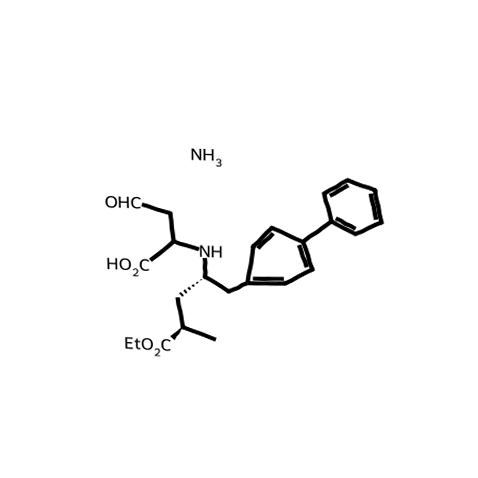 CCOC(=O)[C@H](C)C[C@@H](Cc1ccc(-c2ccccc2)cc1)NC(CC=O)C(=O)O.N